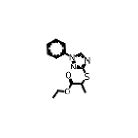 CCOC(=O)C(C)Sc1ncn(-c2ccccc2)n1